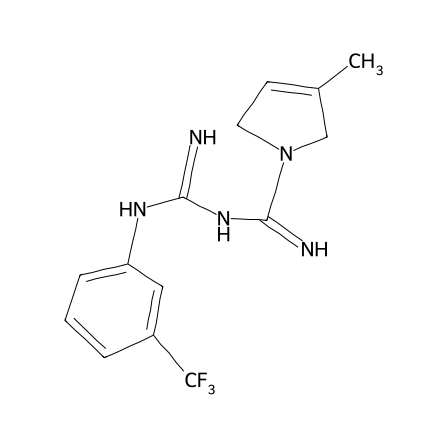 CC1=CCN(C(=N)NC(=N)Nc2cccc(C(F)(F)F)c2)C1